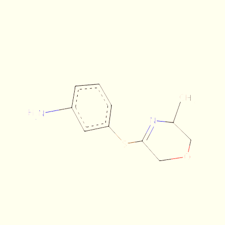 CC1COCC(Sc2cccc(N)c2)=N1